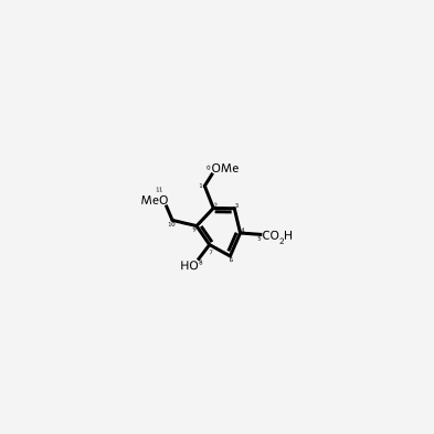 COCc1cc(C(=O)O)cc(O)c1COC